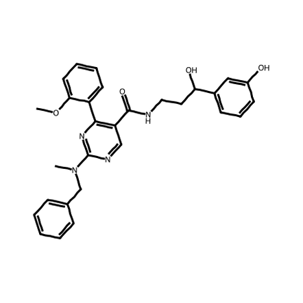 COc1ccccc1-c1nc(N(C)Cc2ccccc2)ncc1C(=O)NCCC(O)c1cccc(O)c1